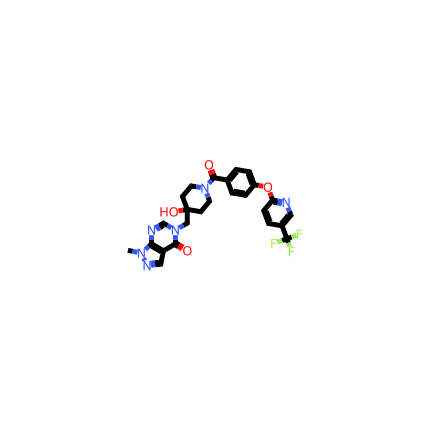 Cn1ncc2c(=O)n(CC3(O)CCN(C(=O)c4ccc(Oc5ccc(C(F)(F)F)cn5)cc4)CC3)cnc21